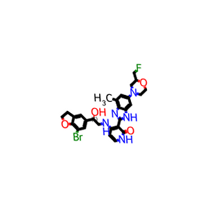 Cc1cc(N2CCOC(CF)C2)cc2[nH]c(-c3c(NC[C@@H](O)c4cc(Br)c5c(c4)CCO5)cc[nH]c3=O)nc12